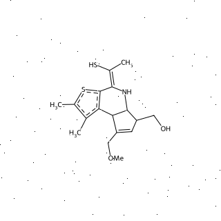 COCC1=CC(CO)C2N/C(=C(\C)S)c3sc(C)c(C)c3C12